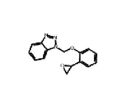 c1ccc(C2CO2)c(OCn2nnc3ccccc32)c1